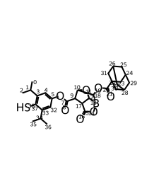 CC(C)c1cc(OC(=O)C2C3OC4B(OC(=O)C42)C3OC(=O)C23CC4CC(CC(C4)C2)C3)cc(C(C)C)c1S